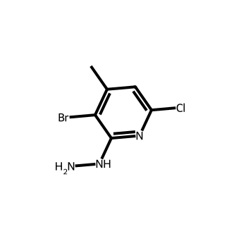 Cc1cc(Cl)nc(NN)c1Br